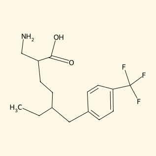 CCC(CCC(CN)C(=O)O)Cc1ccc(C(F)(F)F)cc1